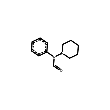 O=[C]N(c1ccccc1)N1CCCCC1